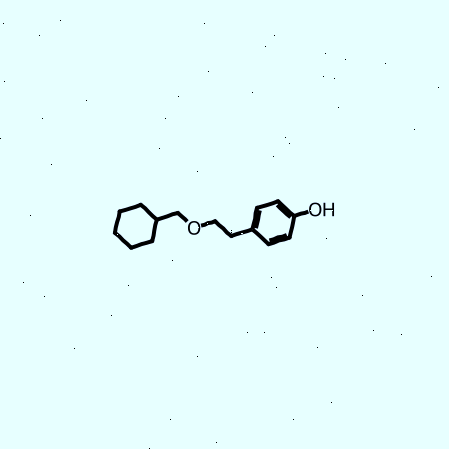 Oc1ccc(CCOCC2CCCCC2)cc1